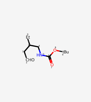 CCC(CC=O)CNC(=O)OC(C)(C)C